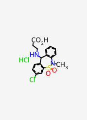 CN1c2ccccc2C(NCCC(=O)O)c2ccc(Cl)cc2S1(=O)=O.Cl